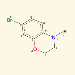 CC(C)N1CCOc2cc(Br)ccc21